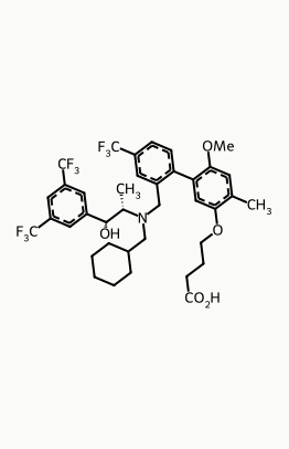 COc1cc(C)c(OCCCC(=O)O)cc1-c1ccc(C(F)(F)F)cc1CN(CC1CCCCC1)[C@@H](C)[C@H](O)c1cc(C(F)(F)F)cc(C(F)(F)F)c1